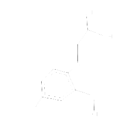 COc1cc(C)ccc1OCC(C)C